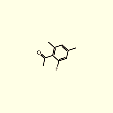 CC(=O)c1c(C)cc(C)cc1F